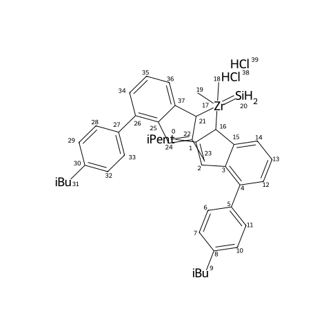 CCCC(C)C1=Cc2c(-c3ccc(C(C)CC)cc3)cccc2[CH]1[Zr]([CH3])([CH3])(=[SiH2])[CH]1C(C)=Cc2c(-c3ccc(C(C)CC)cc3)cccc21.Cl.Cl